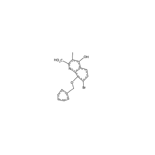 Cc1c(C(=O)O)nc2c(OCc3ccccc3)c(Br)ccc2c1O